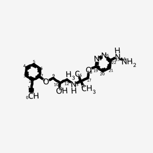 C#Cc1ccccc1OCC(O)CNC(C)(C)COc1ccc(NN)nn1